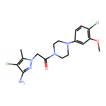 COc1cc(N2CCN(C(=O)Cn3nc(N)c(Cl)c3C)CC2)ccc1Cl